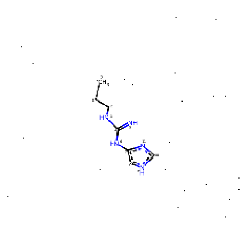 CCCNC(=N)Nc1c[nH]cn1